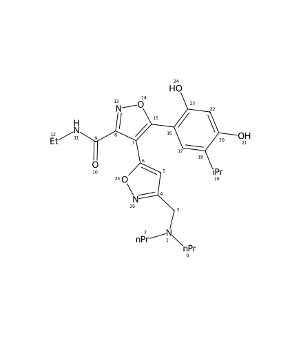 CCCN(CCC)Cc1cc(-c2c(C(=O)NCC)noc2-c2cc(C(C)C)c(O)cc2O)on1